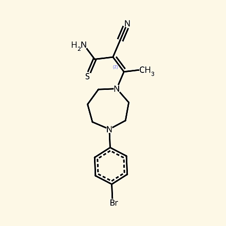 C/C(=C(\C#N)C(N)=S)N1CCCN(c2ccc(Br)cc2)CC1